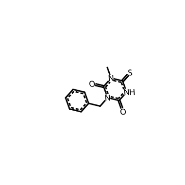 Cn1c(=S)[nH]c(=O)n(Cc2ccccc2)c1=O